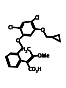 COC(C)=C(C(=O)O)c1ccccc1COc1cc(OCC2CC2)c(Cl)cc1Cl